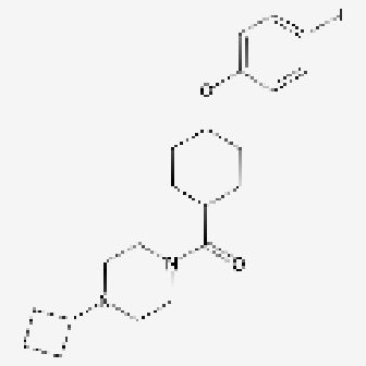 O=C(C1CCC(Oc2ccc(I)cc2)CC1)N1CCN(C2CCC2)CC1